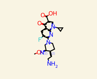 CO/N=C1\CN(c2nc3c(cc2F)c(=O)c(C(=O)O)cn3C2CC2)CC\C1=C\CN